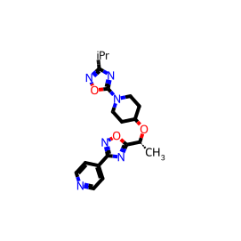 CC(C)c1noc(N2CCC(O[C@H](C)c3nc(-c4ccncc4)no3)CC2)n1